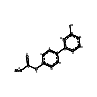 CNC(=O)Oc1ccc(-c2cccc(C)n2)cc1